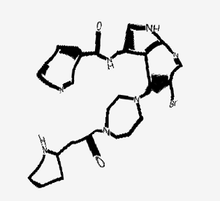 O=C(Nc1c[nH]c2ncc(Br)c(N3CCN(C(=O)CC4CCCN4)CC3)c12)c1cccnc1